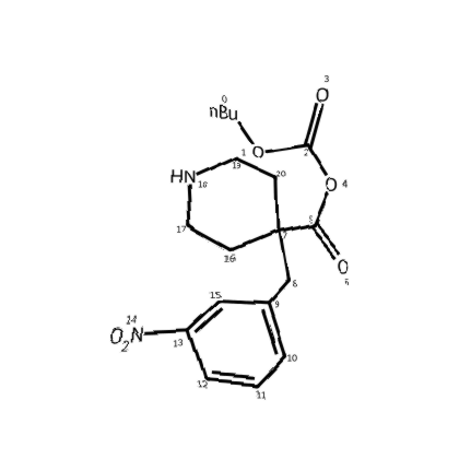 CCCCOC(=O)OC(=O)C1(Cc2cccc([N+](=O)[O-])c2)CCNCC1